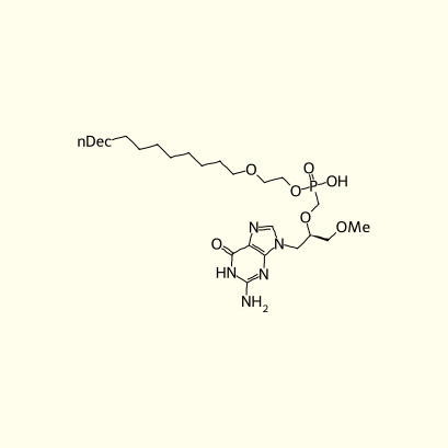 CCCCCCCCCCCCCCCCCCOCCOP(=O)(O)CO[C@@H](COC)Cn1cnc2c(=O)[nH]c(N)nc21